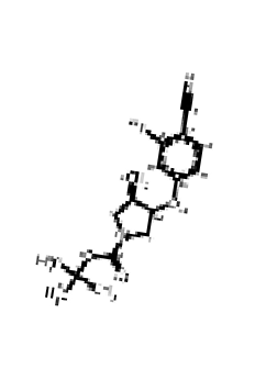 C=C1CN(C(=O)OC(C)(C)C)CC1Oc1ccc(C#N)c(F)c1